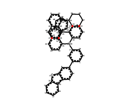 c1cc(-c2ccc3c(c2)oc2ccccc23)cc(N(c2ccccc2-c2cccc3cccc(C4CCCCC4)c23)c2cccc3oc4ccccc4c23)c1